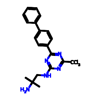 CC(C)(N)CNc1nc(-c2ccc(-c3ccccc3)cc2)nc(C(Cl)(Cl)Cl)n1